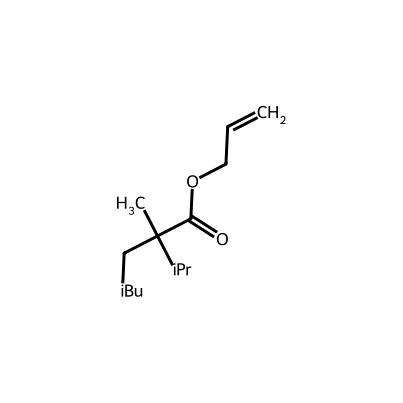 C=CCOC(=O)C(C)(CC(C)CC)C(C)C